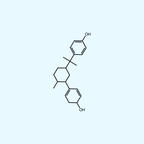 CC1CCC(C(C)(C)c2ccc(O)cc2)CC1C1=CCC(O)C=C1